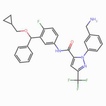 NCc1cccc(-n2nc(C(F)(F)F)cc2C(=O)Nc2ccc(F)c(C(OCC3CC3)c3ccccc3)c2)c1